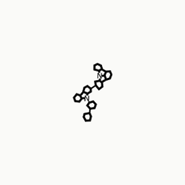 c1ccc(-c2cccc(-n3c4ccccc4c4ccc(-c5ccc6c7cccc8c9ccccc9n(c6c5)c87)cc43)c2)cc1